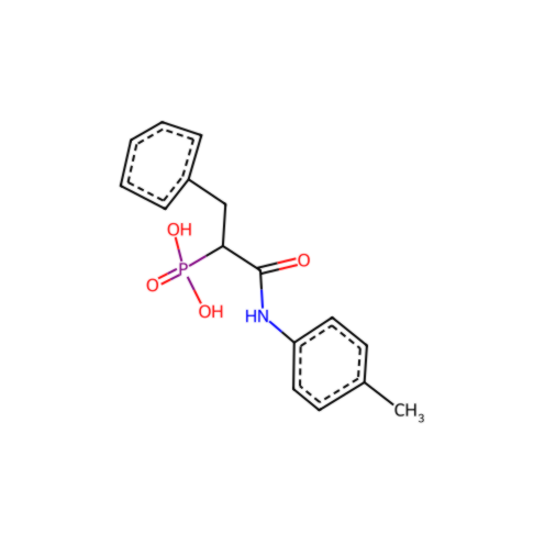 Cc1ccc(NC(=O)C(Cc2ccccc2)P(=O)(O)O)cc1